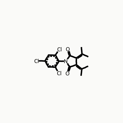 CC(C)=C1C(=O)N(c2c(Cl)cc(Cl)cc2Cl)C(=O)C1=C(C)C